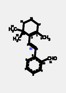 CC1=C(/C=C/c2ccccc2C=O)C(C)(C)CCC1